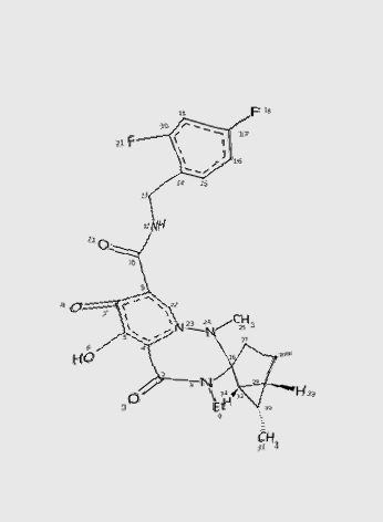 CCN1C(=O)c2c(O)c(=O)c(C(=O)NCc3ccc(F)cc3F)cn2N(C)C12CC[C@@H]1[C@H](C)[C@@H]12